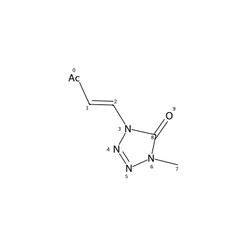 CC(=O)/C=C/n1nnn(C)c1=O